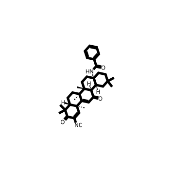 [C-]#[N+]C1=C[C@]2(C)C3=CC(=O)[C@@H]4[C@@H]5CC(C)(C)CC[C@]5(NC(=O)c5ccccc5)CC[C@@]4(C)[C@]3(C)CC[C@H]2C(C)(C)C1=O